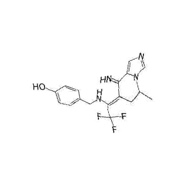 CC1C/C(=C(/NCc2ccc(O)cc2)C(F)(F)F)C(=N)c2cncn21